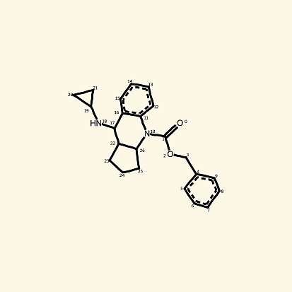 O=C(OCc1ccccc1)N1c2ccccc2C(NC2CC2)C2CCCC21